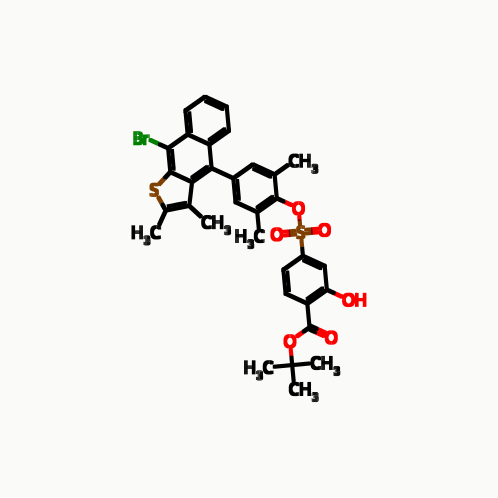 Cc1cc(-c2c3ccccc3c(Br)c3sc(C)c(C)c23)cc(C)c1OS(=O)(=O)c1ccc(C(=O)OC(C)(C)C)c(O)c1